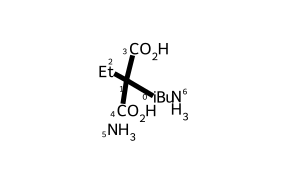 CCC(C)C(CC)(C(=O)O)C(=O)O.N.N